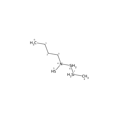 CCCCN(S)[SiH2][SiH2]C